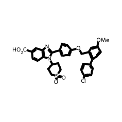 COc1ccc(-c2ccc(Cl)cc2)c(COc2ccc(-c3nc4cc(C(=O)O)ccc4n3C3CCS(=O)(=O)CC3)cc2)c1